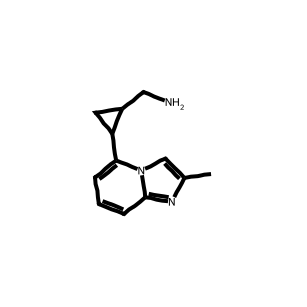 Cc1cn2c(C3CC3CN)cccc2n1